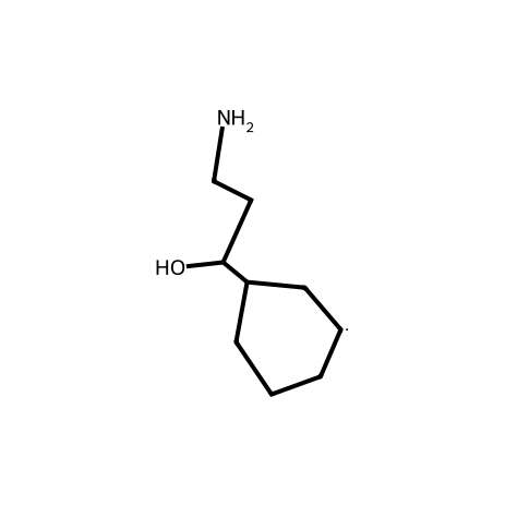 NCCC(O)C1C[CH]CCC1